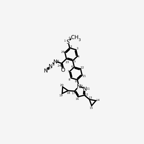 CSc1ccc(-c2ccc(-n3nc(C4CC4)cc3C3CC3)cc2)c(C(=O)N=[N+]=[N-])c1